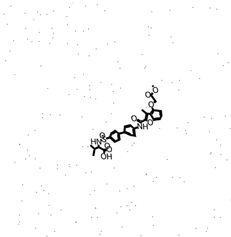 COC(=O)COc1cccc2oc(C(=O)Nc3ccc(-c4ccc(S(=O)(=O)NC(C(=O)O)C(C)C)cc4)cc3)c(C)c12